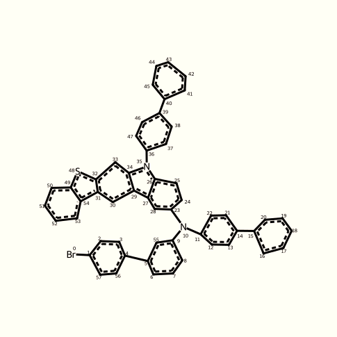 Brc1ccc(-c2cccc(N(c3ccc(-c4ccccc4)cc3)c3ccc4c(c3)c3cc5c(cc3n4-c3ccc(-c4ccccc4)cc3)sc3ccccc35)c2)cc1